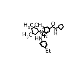 CCc1ccc(Nc2nc3cc(C(=O)NC4CCCC4)ccc3n2C2CC(C)CC(C)(C)C2)cc1